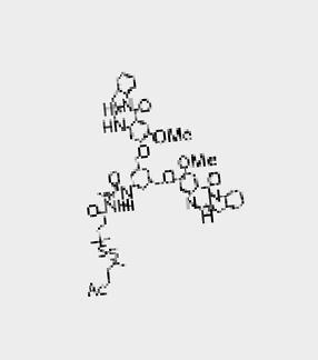 COc1cc2c(cc1OCc1cc(COc3cc4c(cc3OC)C(=O)N3c5ccccc5C[C@H]3CN4)cc(NC(=O)[C@H](C)NC(=O)CCC(C)(C)SSC(C)CCC(C)=O)c1)N=C[C@@H]1Cc3ccccc3N1C2=O